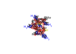 CC[C@H]1O[C@@H](n2cc(C)c(N)nc2=O)CC1OP(=O)(S)OC[C@H]1O[C@@H](n2cnc3c(N)ncnc32)[C@@H](OCCOC)C1OP(=O)(O)OC[C@H]1O[C@@H](n2cc(C)c(=O)[nH]c2=O)[C@@H](OCCOC)C1OP(=O)(O)OC[C@H]1O[C@@H](n2cc(C)c(N)nc2=O)[C@@H](OCCOC)C1OP(=O)(S)OC[C@H]1O[C@@H](n2cc(C)c(N)nc2=O)[C@@H](OCCOC)C1OP(=O)(S)OC[C@H]1O[C@@H](n2cc(C)c(N)nc2=O)[C@@H](OCCOC)C1O